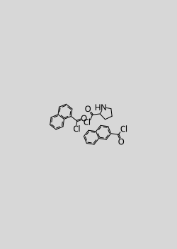 O=C(Cl)C1CCCN1.O=C(Cl)c1ccc2ccccc2c1.O=C(Cl)c1cccc2ccccc12